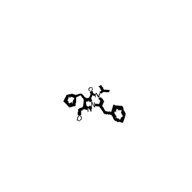 CC(C)N1CC(Cc2ccccc2)n2nc(C=O)c(Cc3ccccc3)c2C1=O